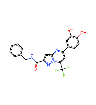 O=C(NCc1ccccc1)c1cc2nc(-c3ccc(O)c(O)c3)cc(C(F)(F)F)n2n1